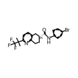 CC(C)(c1ccc2c(n1)CC[C@@H](C(=O)Nc1ccc(Br)cc1)C2)C(F)(F)F